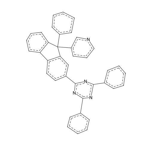 c1ccc(-c2nc(-c3ccccc3)nc(-c3ccc4c(c3)C(c3ccccc3)(c3cccnc3)c3ccccc3-4)n2)cc1